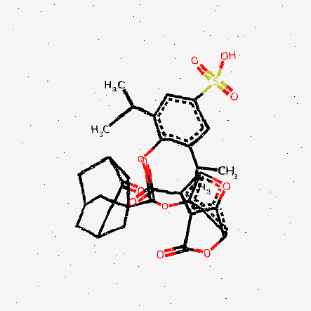 CC(C)c1cc(S(=O)(=O)O)cc(C(C)C)c1OC(=O)c1c2c3oc1c(OC(=O)C14CC5CC(C1)C(=O)C(C5)C4)c3OC2=O